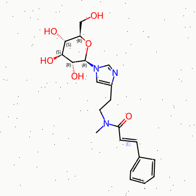 CN(CCc1cn([C@@H]2O[C@H](CO)[C@@H](O)[C@H](O)[C@H]2O)cn1)C(=O)/C=C/c1ccccc1